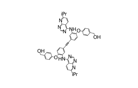 CC(C)c1ccc2c(Nc3cc(C#Cc4ccc(Oc5ccc(CO)cc5)c(Nc5ncnc6nc(C(C)C)ccc56)c4)ccc3Oc3ccc(CO)cc3)ncnc2n1